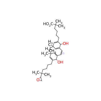 CC1(C)C=C(/C=C\C2=CC(C)(C)C=C(CCCCC(C)(C)C3CO3)C2O)C(O)C(CCCCC(C)(C)C(=O)O)=C1